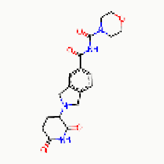 O=C1CCC(N2Cc3ccc(C(=O)NC(=O)N4CCOCC4)cc3C2)C(=O)N1